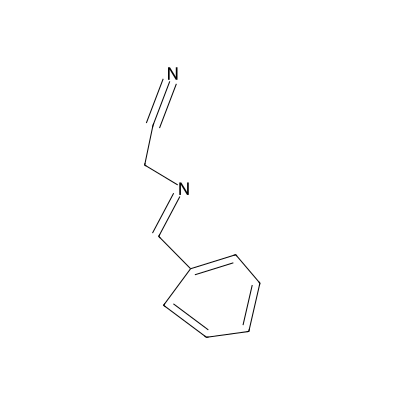 N#CC/N=C/c1ccccc1